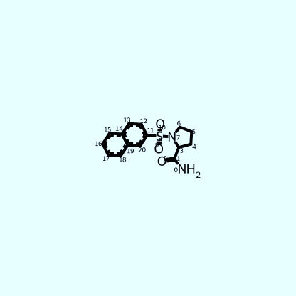 NC(=O)C1CCCN1S(=O)(=O)c1ccc2ccccc2c1